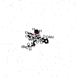 CCN1CCN(C(=O)NC(C(=O)N[C@](COC(=O)c2c(Cl)cccc2OC)(B2O[C@@H]3C[C@@H]4C[C@@H](C4(C)C)[C@]3(C)O2)C(C)(C)C)c2csc(NC(=O)OC(C)(C)C)n2)C(=O)C1=O